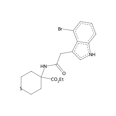 CCOC(=O)C1(NC(=O)Cc2c[nH]c3cccc(Br)c23)CCSCC1